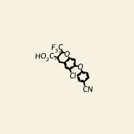 N#Cc1ccc(Oc2cc3c(cc2Cl)C[C@@H](C(=O)O)[C@@H](C(F)(F)F)O3)cc1